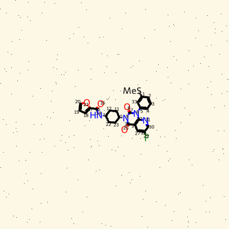 CSc1cccc(-n2c(=O)n([C@H]3CC[C@@H](NC(=O)c4ccco4)CC3)c(=O)c3cc(F)cnc32)c1